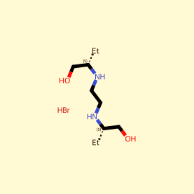 Br.CC[C@@H](CO)NCCN[C@@H](CC)CO